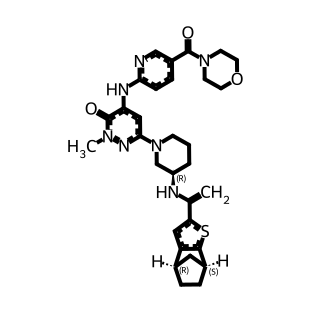 C=C(N[C@@H]1CCCN(c2cc(Nc3ccc(C(=O)N4CCOCC4)cn3)c(=O)n(C)n2)C1)c1cc2c(s1)[C@H]1CC[C@@H]2C1